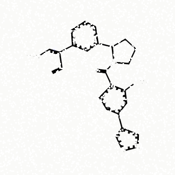 C=C/C(=C\NC)c1cccc(C2CCCN2C(=O)c2ccc(-c3cn[nH]c3)cc2OC)c1